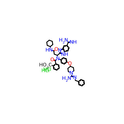 Cl.Cl.N=C(N)c1ccc2[nH]c(C(CC(=O)NC3CCCCC3)N(C(=O)c3ccccc3C(=O)O)c3ccc(OC4CCN(C(N)=NCc5ccccc5)CC4)cc3)nc2c1